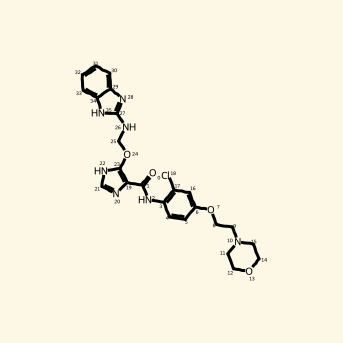 O=C(Nc1ccc(OCCN2CCOCC2)cc1Cl)c1nc[nH]c1OCNc1nc2ccccc2[nH]1